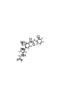 NSc1cc(NC(=O)Cc2ccccc2Cl)ccc1-n1cc(NCC(F)F)cn1